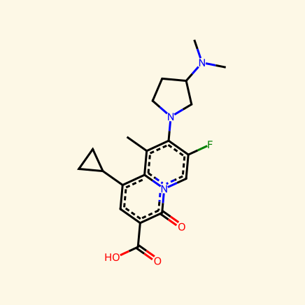 Cc1c(N2CCC(N(C)C)C2)c(F)cn2c(=O)c(C(=O)O)cc(C3CC3)c12